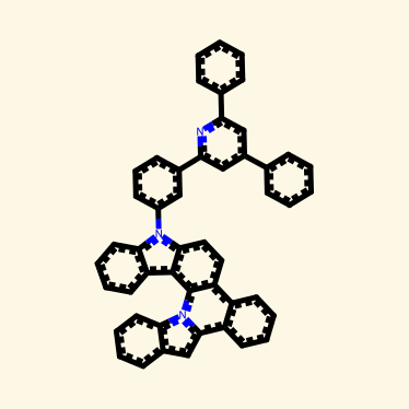 c1ccc(-c2cc(-c3ccccc3)nc(-c3cccc(-n4c5ccccc5c5c4ccc4c6ccccc6c6cc7ccccc7n6c45)c3)c2)cc1